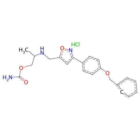 CC(COC(N)=O)NCc1cc(-c2ccc(OCc3ccccc3)cc2)no1.Cl